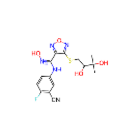 CC(C)(O)C(O)CSc1nonc1/C(=N\O)Nc1ccc(F)c(C#N)c1